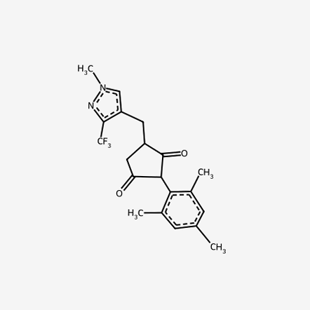 Cc1cc(C)c(C2C(=O)CC(Cc3cn(C)nc3C(F)(F)F)C2=O)c(C)c1